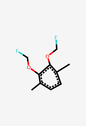 Cc1ccc(C)c(OCF)c1OCF